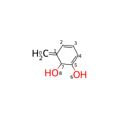 C=C1C=CC=C(O)C1O